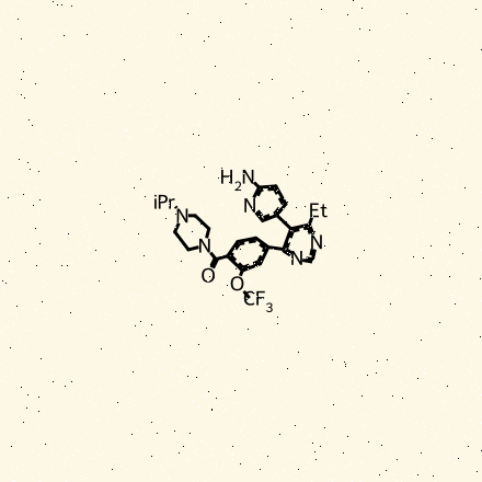 CCc1ncnc(-c2ccc(C(=O)N3CCN(C(C)C)CC3)c(OC(F)(F)F)c2)c1-c1ccc(N)nc1